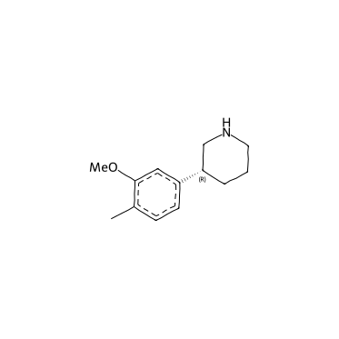 COc1cc([C@H]2CCCNC2)ccc1C